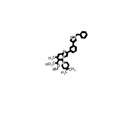 Cc1cc2nc(-c3cccc(-c4cnn(Cc5ccccc5)c4)c3)cn2c(N2CCC(C)(C)CC2)c1C(OC(C)(C)C)C(=O)O